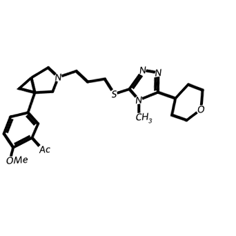 COc1ccc(C23CC2CN(CCCSc2nnc(C4CCOCC4)n2C)C3)cc1C(C)=O